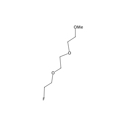 COCCOCCOCCF